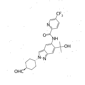 CC(C)(O)c1cc2nn([C@H]3CC[C@H](C=O)CC3)cc2cc1NC(=O)c1ccc(C(F)(F)F)cn1